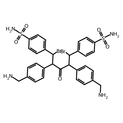 NCc1ccc(C(C(=O)C(c2ccc(CN)cc2)C(Br)c2ccc(S(N)(=O)=O)cc2)C(Br)c2ccc(S(N)(=O)=O)cc2)cc1